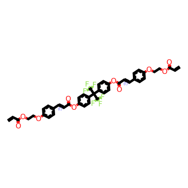 C=CC(=O)OCCOc1ccc(/C=C/C(=O)Oc2ccc(C(c3ccc(OC(=O)/C=C/c4ccc(OCCOC(=O)C=C)cc4)cc3)(C(F)(F)F)C(F)(F)F)cc2)cc1